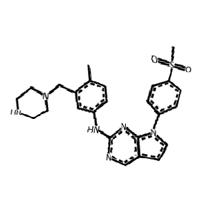 Cc1ccc(Nc2ncc3ccn(-c4ccc(S(C)(=O)=O)cc4)c3n2)cc1CN1CCNCC1